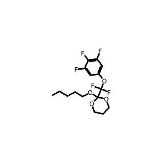 CCCCCOC1(C(F)(F)Oc2cc(F)c(F)c(F)c2)OCCCO1